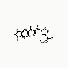 COC(=O)N1CCC(NC(=O)Nc2cnc3[nH]ccc3n2)C1